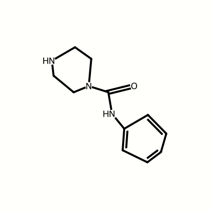 O=C(Nc1ccccc1)N1CCNCC1